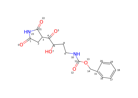 O=C1CC(C(=O)C(O)CCNC(=O)OCc2ccccc2)C(=O)N1